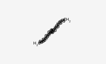 C=CC(=O)OCOC(=O)Oc1ccc(C(=O)Oc2ccc(C(=O)OC3CO[C@@H]4[C@@H](OC(=O)c5ccc(OC(=O)c6ccc(OC(=O)OCOC(=O)C=C)cc6)cc5)CO[C@H]34)cc2)cc1